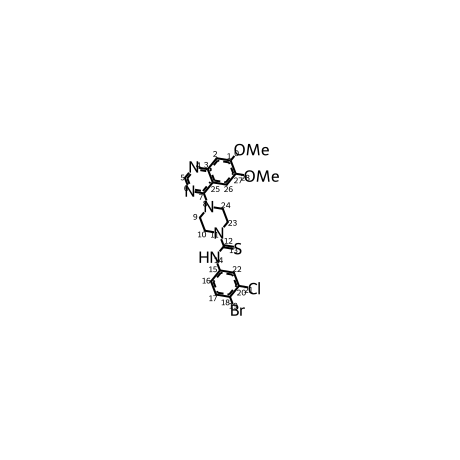 COc1cc2ncnc(N3CCN(C(=S)Nc4ccc(Br)c(Cl)c4)CC3)c2cc1OC